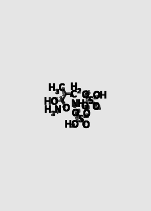 C=C(C)C(=O)O.N.N.O=S(=O)(O)OOS(=O)(=O)O